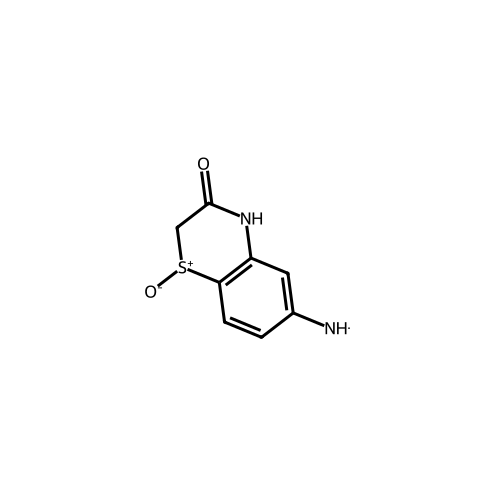 [NH]c1ccc2c(c1)NC(=O)C[S+]2[O-]